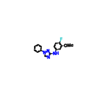 COc1cc(Nc2ncn(-c3ccccc3)n2)ccc1F